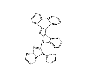 c1ccc(-n2c(-n3c4ccccc4c4c3nc3c5ccccc5c5ccccc5n34)nc3ccccc32)cc1